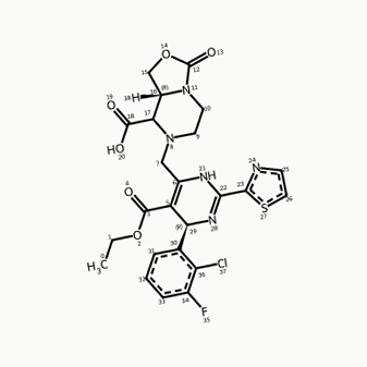 CCOC(=O)C1=C(CN2CCN3C(=O)OC[C@H]3C2C(=O)O)NC(c2nccs2)=N[C@H]1c1cccc(F)c1Cl